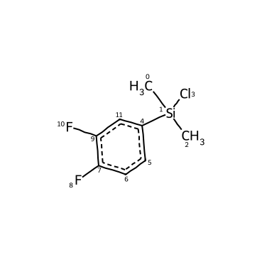 C[Si](C)(Cl)c1ccc(F)c(F)c1